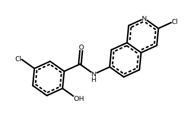 O=C(Nc1ccc2cc(Cl)ncc2c1)c1cc(Cl)ccc1O